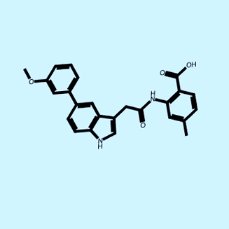 COc1cccc(-c2ccc3[nH]cc(CC(=O)Nc4cc(C)ccc4C(=O)O)c3c2)c1